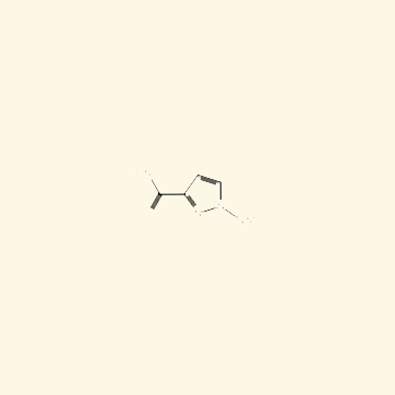 CNn1ccc(C(N)=O)n1